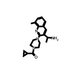 Cc1cccc2cc(C(C)N)c(N3CCN(C(=O)C4CC4)CC3)nc12